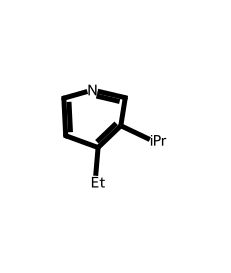 CCc1ccncc1C(C)C